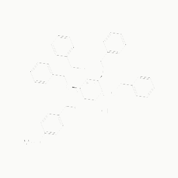 COc1ccc(CO[C@H]2[C@@H](O)[C@@H](OCc3ccccc3)[C@H](OCc3ccccc3)[C@@H](OCc3ccccc3)[C@@H]2OCc2ccccc2)cc1